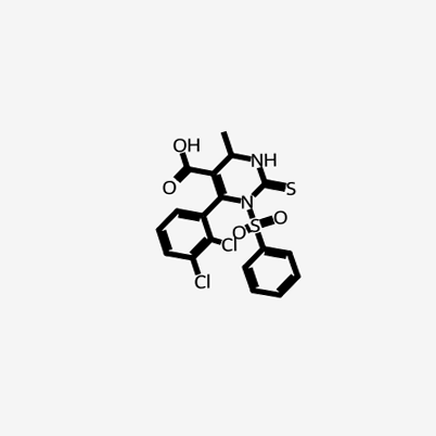 CC1NC(=S)N(S(=O)(=O)c2ccccc2)C(c2cccc(Cl)c2Cl)=C1C(=O)O